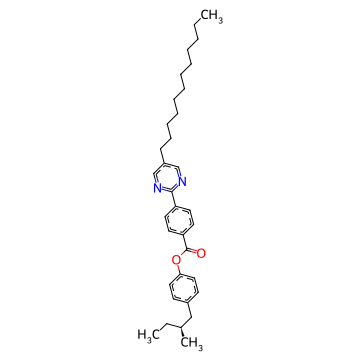 CCCCCCCCCCCCc1cnc(-c2ccc(C(=O)Oc3ccc(C[C@@H](C)CC)cc3)cc2)nc1